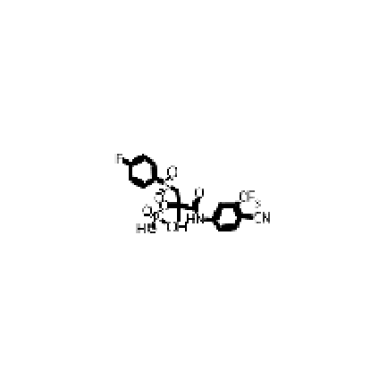 CC(CS(=O)(=O)c1ccc(F)cc1)(OP(=O)(O)O)C(=O)Nc1ccc(C#N)c(C(F)(F)F)c1